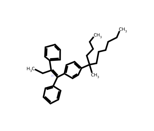 CCCCCCC(C)(CCCC)c1ccc(/C(=C(/CC)c2ccccc2)c2ccccc2)cc1